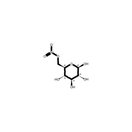 O=[N+]([O-])OC[C@H]1O[C@@H](O)[C@H](O)[C@@H](O)[C@@H]1O